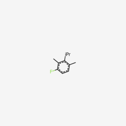 Cc1ccc(F)c(C)c1C(C)C